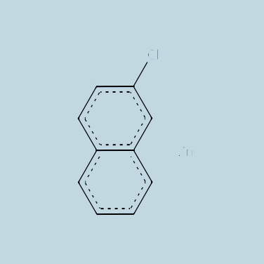 Clc1ccc2ccccc2c1.[Zn]